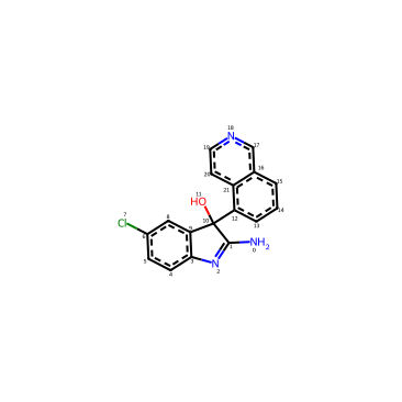 NC1=Nc2ccc(Cl)cc2C1(O)c1cccc2cnccc12